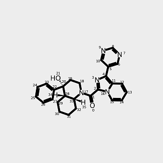 O=C(c1nc(-c2cncnc2)c2ccccn12)N1CC[C@](O)(c2ccccc2)[C@H]2CCCC[C@H]21